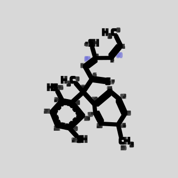 C/C=C\C(S)=C/C(=S)C(C)(C1=CC=CC(C)C=C1)c1cc(S)ccc1S